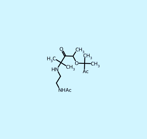 CC(=O)NCCNC(C)(C)C(=O)C(C)OC(C)(C)C(C)=O